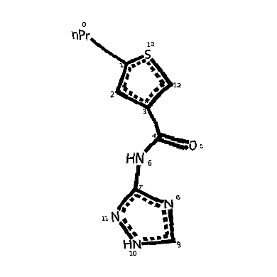 CCCc1cc(C(=O)Nc2nc[nH]n2)cs1